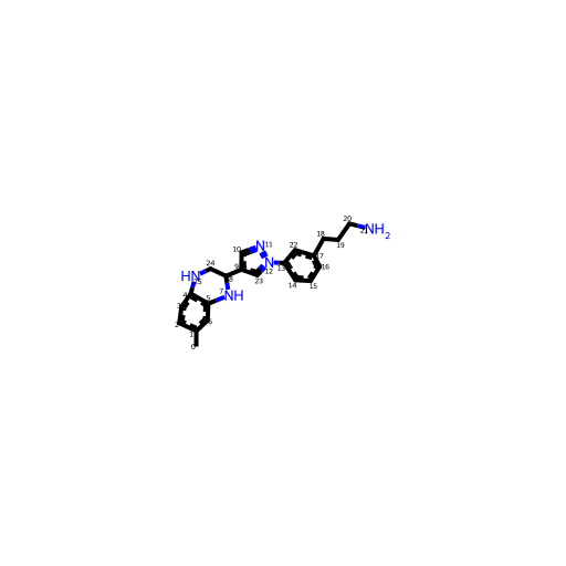 Cc1ccc2c(c1)NC(c1cnn(-c3cccc(CCCN)c3)c1)CN2